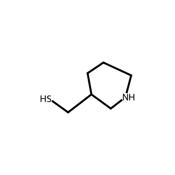 SCC1CCCNC1